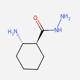 NNC(=O)[C@H]1CCCC[C@@H]1N